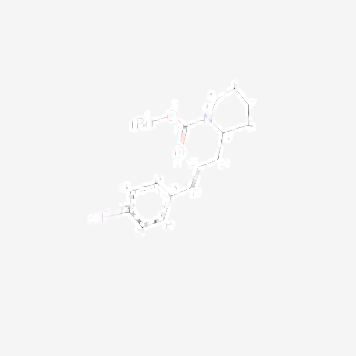 CC(C)(C)OC(=O)N1CCCCC1C/C=C/c1ccc(F)cc1